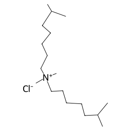 CC(C)CCCCC[N+](C)(C)CCCCCC(C)C.[Cl-]